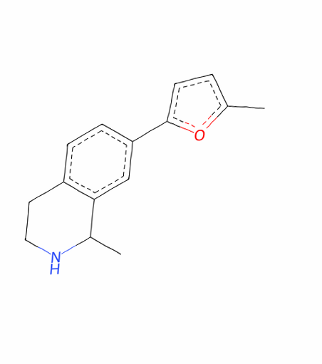 Cc1ccc(-c2ccc3c(c2)C(C)NCC3)o1